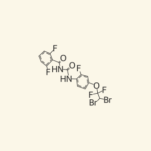 O=C(NC(=O)c1c(F)cccc1F)Nc1ccc(OC(F)(F)C(Br)Br)cc1F